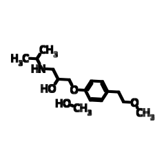 CO.COCCc1ccc(OCC(O)CNC(C)C)cc1